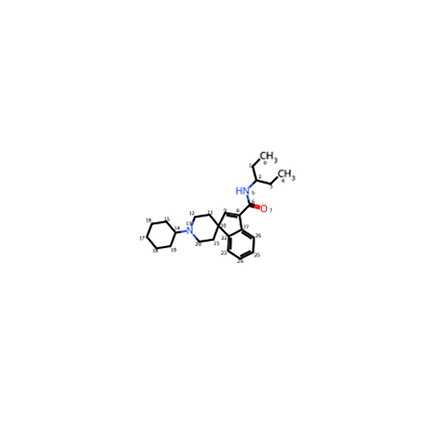 CCC(CC)NC(=O)C1=CC2(CCN(C3CCCCC3)CC2)c2ccccc21